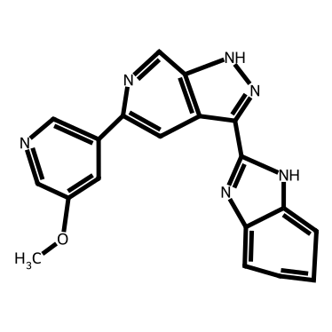 COc1cncc(-c2cc3c(-c4nc5ccccc5[nH]4)n[nH]c3cn2)c1